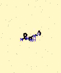 N#Cc1cn(-c2cncc(CNCCN3CCCC3)c2)c2ccccc12